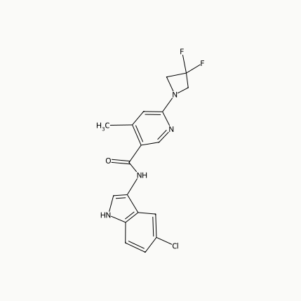 Cc1cc(N2CC(F)(F)C2)ncc1C(=O)Nc1c[nH]c2ccc(Cl)cc12